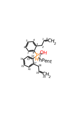 C=CCc1ccccc1[PH](O)(CCCCC)c1ccccc1CC=C